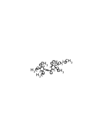 COCCOCOc1c(OC)cc(C(=O)C#Cc2cc(OC)c(OC)cc2OC)cc1OC